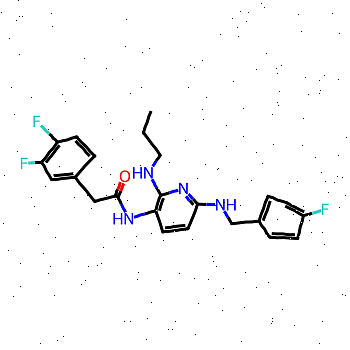 CCCNc1nc(NCc2ccc(F)cc2)ccc1NC(=O)Cc1ccc(F)c(F)c1